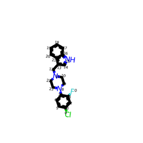 Fc1cc(Cl)ccc1N1CCN(Cc2c[nH]c3ccccc23)CC1